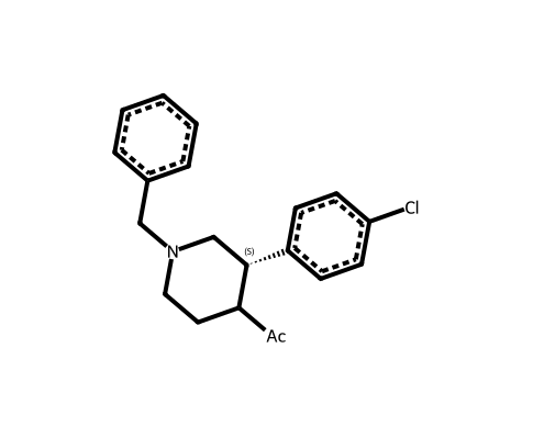 CC(=O)C1CCN(Cc2ccccc2)C[C@@H]1c1ccc(Cl)cc1